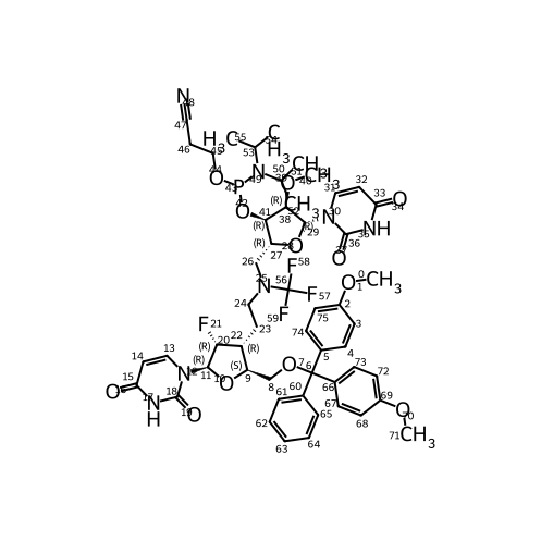 COc1ccc(C(OC[C@H]2O[C@@H](n3ccc(=O)[nH]c3=O)[C@H](F)[C@@H]2CCN(C[C@H]2O[C@@H](n3ccc(=O)[nH]c3=O)[C@H](OC)[C@@H]2OP(OCCC#N)N(C(C)C)C(C)C)C(F)(F)F)(c2ccccc2)c2ccc(OC)cc2)cc1